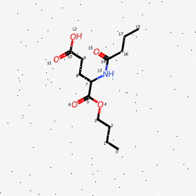 CCCCOC(=O)C(CCC(=O)O)NC(=O)CCC